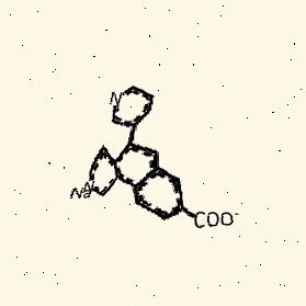 O=C([O-])c1ccc2c(c1)cc(-c1cccnc1)c1ccncc12.[Na+]